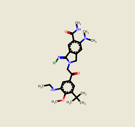 CCNc1cc(C(=O)CN2Cc3cc(N(C)C)c(C(=O)NC)cc3/C2=N/Br)cc(C(C)(C)C)c1OC